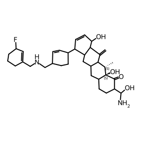 C=C1C2C(O)C=CC(C3C=CC(CNCC4=CC(F)CCC4)CC3)C2CC2CC3CCC(C(N)O)C(=O)[C@@]3(O)[C@@H](C)C12